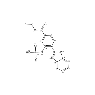 CCOC(=N)c1ccc(-c2nc3ccccc3o2)c(OP(=O)(O)O)c1